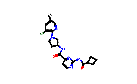 O=C(NC1CCN(c2ncc(C(F)(F)F)cc2Cl)C1)c1ccnc(NC(=O)C2CCC2)n1